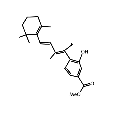 COC(=O)c1ccc(/C(F)=C(C)/C=C/C2=C(C)CCCC2(C)C)c(O)c1